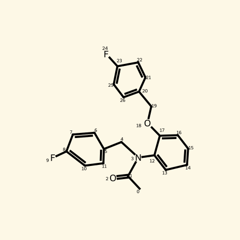 CC(=O)N(Cc1ccc(F)cc1)c1ccccc1OCc1ccc(F)cc1